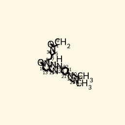 C=CC(=O)N1CC(CCn2c(=O)ccc3cnc(Nc4ccc(N5CCN(C)[C@@H](C)C5)cc4)nc32)C1